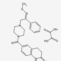 CO/N=C(\CN1CCN(C(=O)c2ccc3c(c2)CCC(=O)N3)CC1)c1ccccc1.O=C(O)C(=O)O